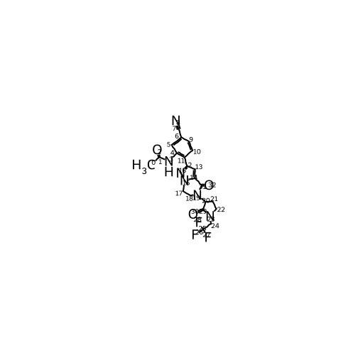 CC(=O)Nc1cc(C#N)ccc1-c1cc2n(n1)CCN(C1CCN(CC(F)(F)F)C1=O)C2=O